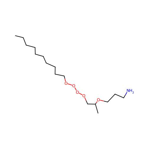 CCCCCCCCCCOOOOCC(C)OCCCN